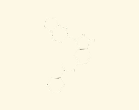 O=C(Nc1ccc2[nH]nc(C3CCN4CCCC4C3)c2c1)c1ccccc1